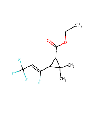 CCOC(=O)C1C(C(F)=CC(F)(F)F)C1(C)C